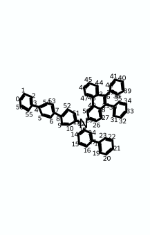 c1ccc(-c2ccc(-c3ccc(N(c4cccc(-c5ccccc5)c4)c4ccc5c(-c6ccccc6)c(-c6ccccc6)c6ccccc6c5c4)cc3)cc2)cc1